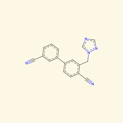 N#Cc1cccc(-c2ccc(C#N)c(Cn3cncn3)c2)c1